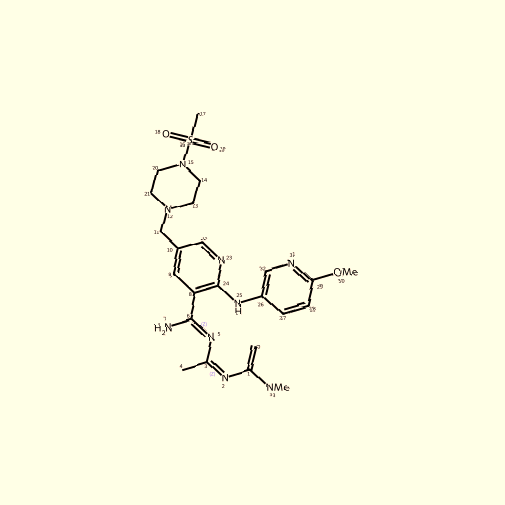 C=C(/N=C(C)\N=C(/N)c1cc(CN2CCN(S(C)(=O)=O)CC2)cnc1Nc1ccc(OC)nc1)NC